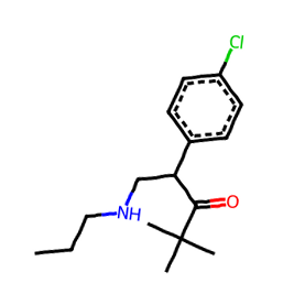 CCCNCC(C(=O)C(C)(C)C)c1ccc(Cl)cc1